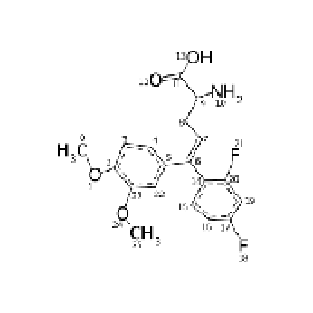 COc1ccc(/C(=C\CC(N)C(=O)O)c2ccc(F)cc2F)cc1OC